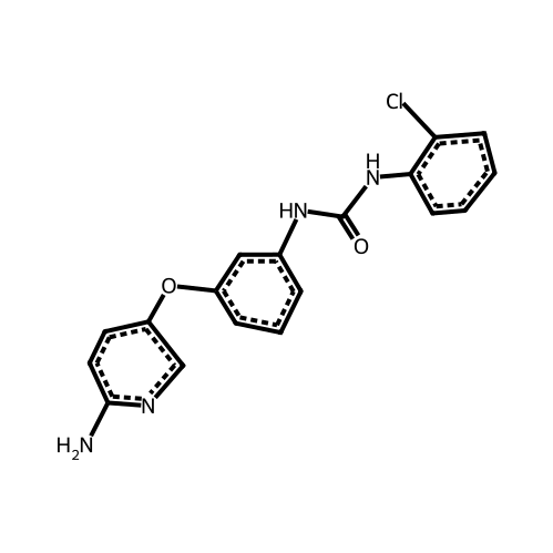 Nc1ccc(Oc2cccc(NC(=O)Nc3ccccc3Cl)c2)cn1